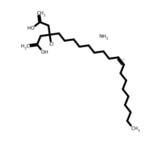 C=C(O)CC(Cl)(CCCCCCCC/C=C\CCCCCCCC)CC(=C)O.N